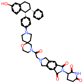 O=C1CCC(N2C(=O)c3cc4c(cc3C2=O)CN(CC(=O)N2CCOC3(CCN(c5ccc([C@@H]6c7ccc(O)cc7CC[C@@H]6c6ccccc6)cc5)CC3)C2)C4)C(=O)N1